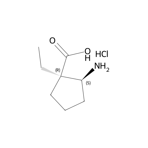 CC[C@@]1(C(=O)O)CCC[C@@H]1N.Cl